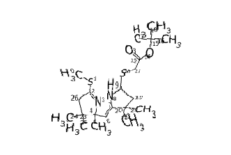 CSC1=NC(C)(C=C2NC(SCC(=O)OC(C)(C)C)CC2(C)C)C(C)(C)C1